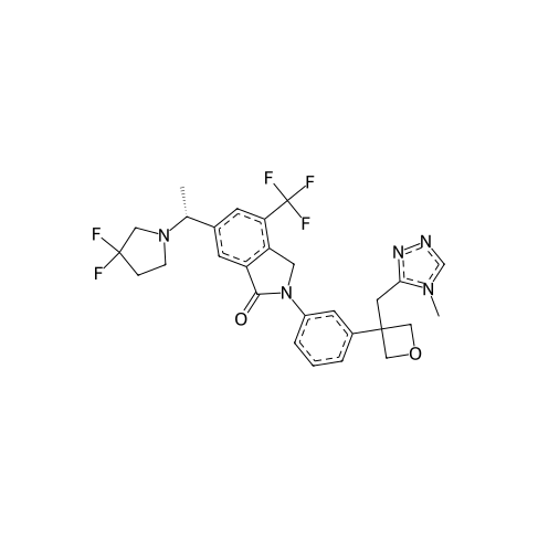 C[C@H](c1cc2c(c(C(F)(F)F)c1)CN(c1cccc(C3(Cc4nncn4C)COC3)c1)C2=O)N1CCC(F)(F)C1